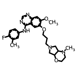 COc1cc2ncnc(Nc3ccc(F)c(C)c3)c2cc1OCCCN1CC2OCCN(C)C2C1